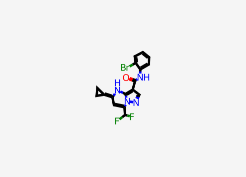 O=C(Nc1ccccc1Br)c1cnn2c1NC(=C1CC1)C=C2C(F)F